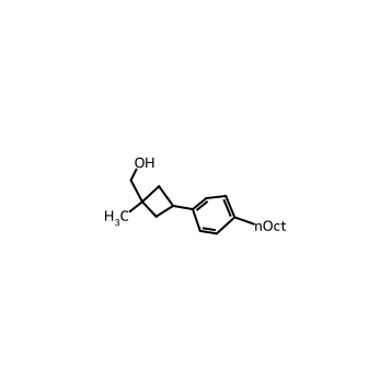 CCCCCCCCc1ccc(C2CC(C)(CO)C2)cc1